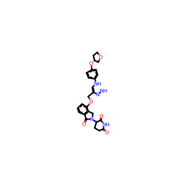 N=N/C(=C\Nc1ccc(O[C@@H]2CCOC2)cc1)COc1cccc2c1CN(C1CCC(=O)NC1=O)C2=O